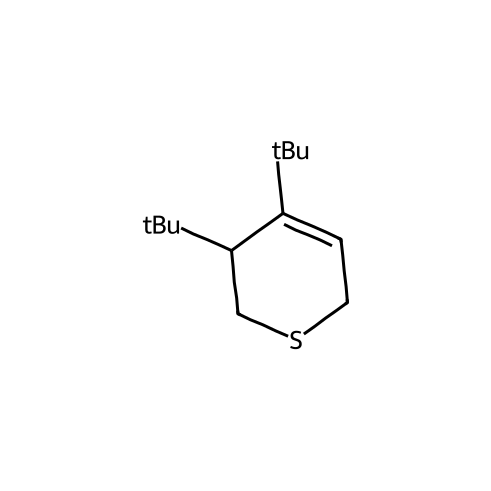 CC(C)(C)C1=CCSCC1C(C)(C)C